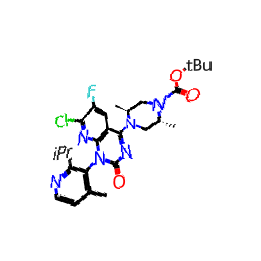 Cc1ccnc(C(C)C)c1-n1c(=O)nc(N2C[C@@H](C)N(C(=O)OC(C)(C)C)C[C@@H]2C)c2cc(F)c(Cl)nc21